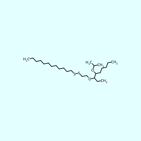 CCCCCCCCCCCCSSCCOC(CC)C(CCCCC)OC(C)C